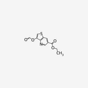 CCOC(=O)c1cnc2c(OC=O)csc2c1